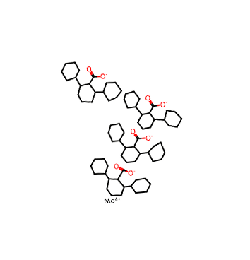 O=C([O-])C1C(C2CCCCC2)CCCC1C1CCCCC1.O=C([O-])C1C(C2CCCCC2)CCCC1C1CCCCC1.O=C([O-])C1C(C2CCCCC2)CCCC1C1CCCCC1.O=C([O-])C1C(C2CCCCC2)CCCC1C1CCCCC1.[Mo+4]